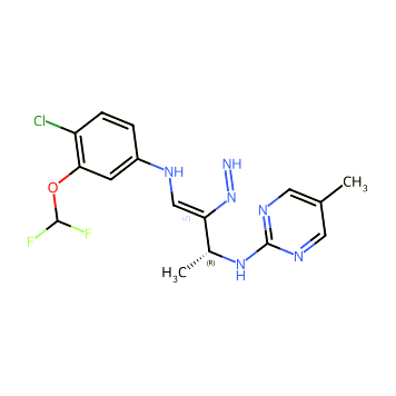 Cc1cnc(N[C@H](C)/C(=C/Nc2ccc(Cl)c(OC(F)F)c2)N=N)nc1